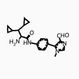 Cn1cnc(C=O)c1-c1ccc(NC(=O)C(N)C(C2CC2)C2CC2)cc1